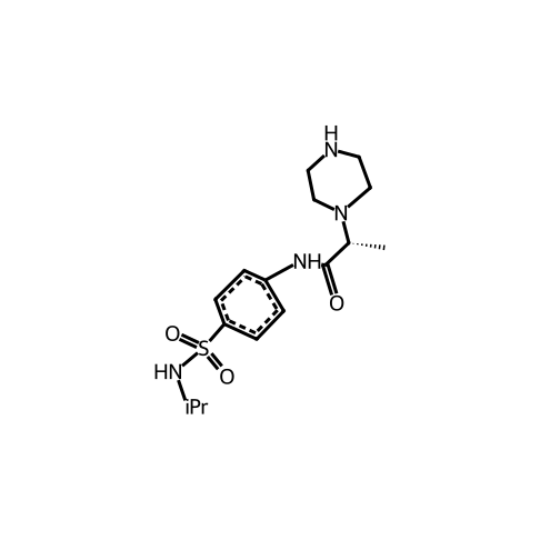 CC(C)NS(=O)(=O)c1ccc(NC(=O)[C@@H](C)N2CCNCC2)cc1